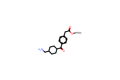 CCCCCCOC(=O)Cc1ccc(C(=O)C2CCC(CN)CC2)cc1